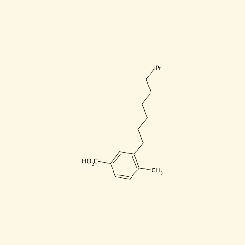 Cc1ccc(C(=O)O)cc1CCCCCCC(C)C